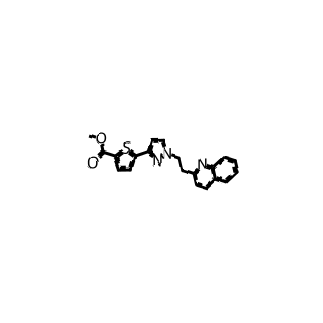 COC(=O)c1ccc(-c2ccn(CCc3ccc4ccccc4n3)n2)s1